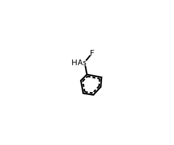 F[AsH]c1ccccc1